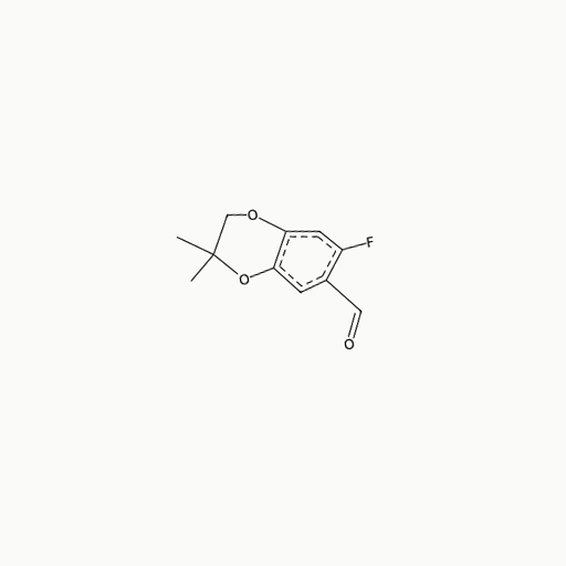 CC1(C)COc2cc(F)c(C=O)cc2O1